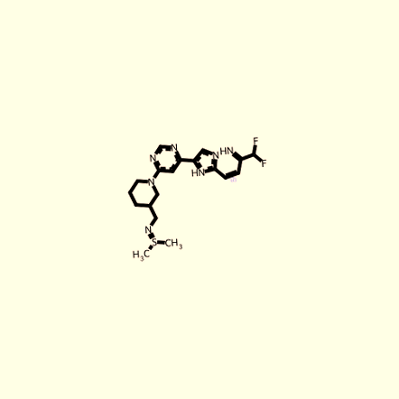 CS(C)=NCC1CCCN(c2cc(-c3cnc(/C=C\C(=N)C(F)F)[nH]3)ncn2)C1